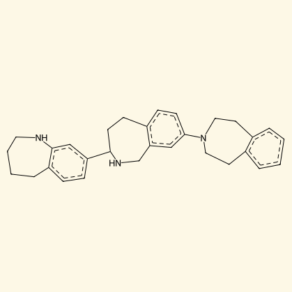 c1ccc2c(c1)CCN(c1ccc3c(c1)CNC(c1ccc4c(c1)NCCCC4)CC3)CC2